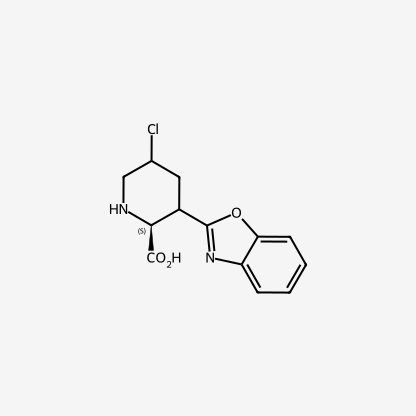 O=C(O)[C@H]1NCC(Cl)CC1c1nc2ccccc2o1